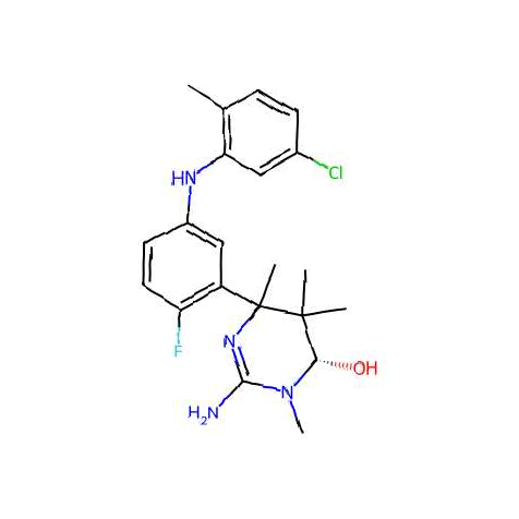 Cc1ccc(Cl)cc1Nc1ccc(F)c(C2(C)N=C(N)N(C)[C@@H](O)C2(C)C)c1